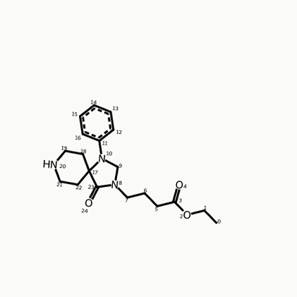 CCOC(=O)CCCN1CN(c2ccccc2)C2(CCNCC2)C1=O